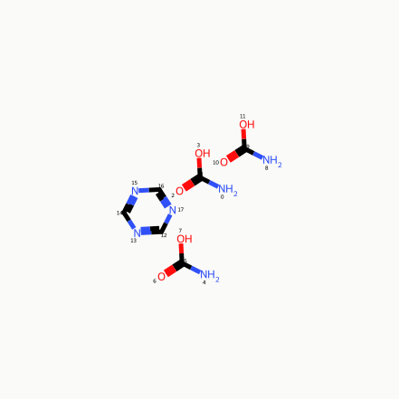 NC(=O)O.NC(=O)O.NC(=O)O.c1ncncn1